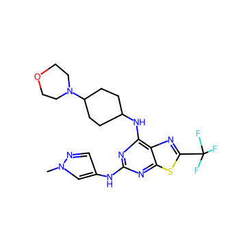 Cn1cc(Nc2nc(NC3CCC(N4CCOCC4)CC3)c3nc(C(F)(F)F)sc3n2)cn1